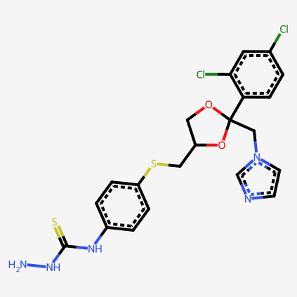 NNC(=S)Nc1ccc(SCC2COC(Cn3ccnc3)(c3ccc(Cl)cc3Cl)O2)cc1